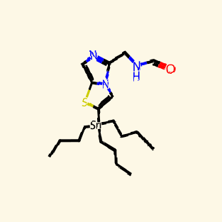 CCC[CH2][Sn]([CH2]CCC)([CH2]CCC)[c]1cn2c(CNC=O)ncc2s1